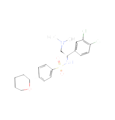 CN(C)C[C@H](NS(=O)(=O)c1ccc([C@H]2CCCCO2)cc1)c1ccc(Cl)c(Cl)c1